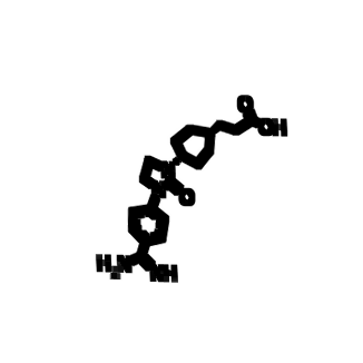 N=C(N)c1ccc(N2CCN([C@H]3CC[C@H](CCC(=O)O)CC3)C2=O)cc1